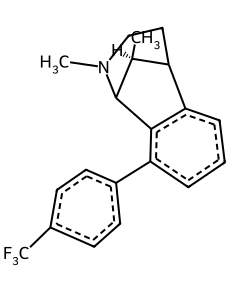 C[C@H]1C2CCN(C)C1c1c(-c3ccc(C(F)(F)F)cc3)cccc12